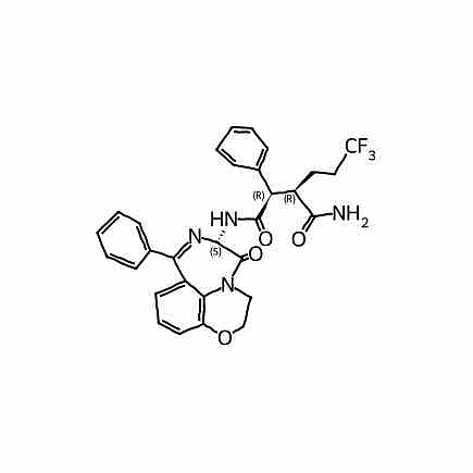 NC(=O)[C@H](CCC(F)(F)F)[C@@H](C(=O)N[C@H]1N=C(c2ccccc2)c2cccc3c2N(CCO3)C1=O)c1ccccc1